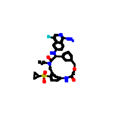 CN1Cc2cc(ccc2S(=O)(=O)C2CC2)NC(=O)COCc2cccc(c2)C(Nc2ccc3c(N)ncc(F)c3c2)C1=O